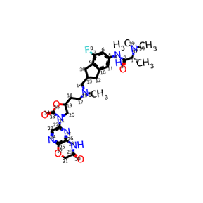 C[C@H](C(=O)Nc1cc(F)c2c(c1)CC(CN(C)CCC1CN(c3cnc4c(n3)NC(=O)CO4)C(=O)O1)C2)N(C)C